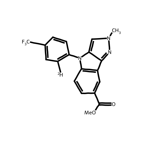 [2H]c1cc(C(F)(F)F)ccc1-n1c2ccc(C(=O)OC)cc2c2nn(C)cc21